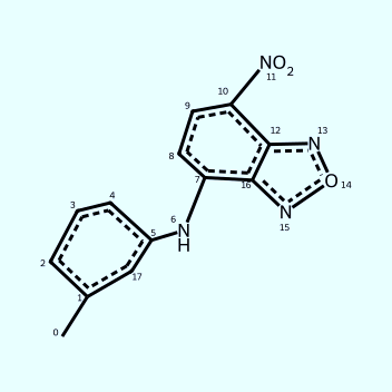 Cc1cccc(Nc2ccc([N+](=O)[O-])c3nonc23)c1